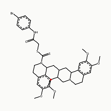 CCC1CN2CCc3cc(OC)c(OC)cc3C2CC1CC1c2cc(OC)c(OC)cc2CCN1C(=S)SCC(=O)Nc1ccc(Br)cc1